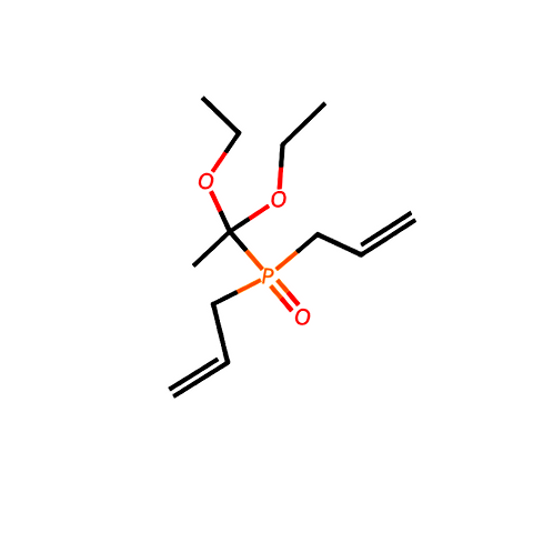 C=CCP(=O)(CC=C)C(C)(OCC)OCC